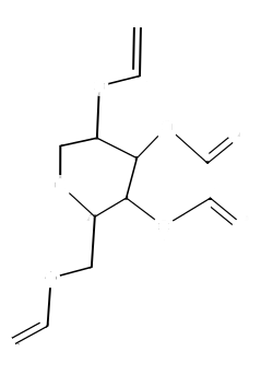 C=COCC1OCC(OC=C)C(OC=C)C1OC=C